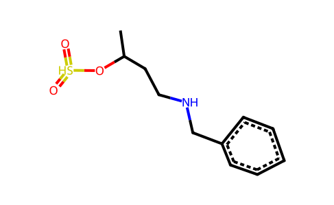 CC(CCNCc1ccccc1)O[SH](=O)=O